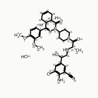 COc1ccc(C2=NN(C3CCN(C(=O)[C@H](C)NCC(O)c4cc(Cl)c(N)c(C#N)c4)CC3)C(=O)[C@@H]3CC=CC[C@H]23)cc1OC.Cl